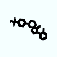 Cc1ccccc1N1CC[C@@]2(CCCN(c3ccc(C(F)(F)F)cn3)C2)C1=O